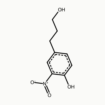 O=[N+]([O-])c1cc(CCCO)ccc1O